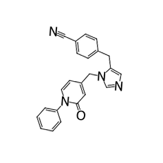 N#Cc1ccc(Cc2cncn2Cc2ccn(-c3ccccc3)c(=O)c2)cc1